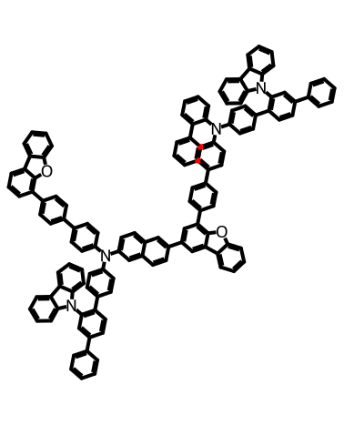 c1ccc(-c2ccc(-c3ccc(N(c4ccc(-c5ccc(-c6cccc7c6oc6ccccc67)cc5)cc4)c4ccc5cc(-c6cc(-c7ccc(-c8ccc(N(c9ccc(-c%10ccc(-c%11ccccc%11)cc%10-n%10c%11ccccc%11c%11ccccc%11%10)cc9)c9ccccc9-c9ccccc9)cc8)cc7)c7oc8ccccc8c7c6)ccc5c4)cc3)c(-n3c4ccccc4c4ccccc43)c2)cc1